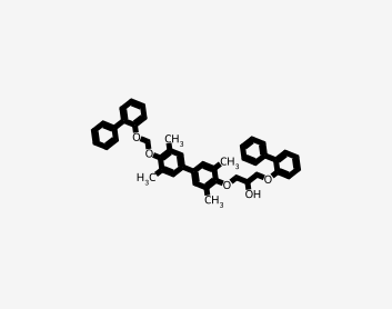 Cc1cc(-c2cc(C)c(OCC(O)COc3ccccc3-c3ccccc3)c(C)c2)cc(C)c1OCOc1ccccc1-c1ccccc1